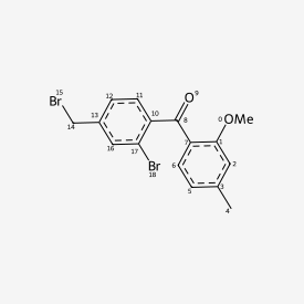 COc1cc(C)ccc1C(=O)c1ccc(CBr)cc1Br